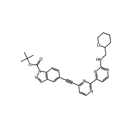 CC(C)(C)OC(=O)n1ncc2cc(C#Cc3ccnc(-c4ccnc(NCC5CCCCO5)n4)n3)ccc21